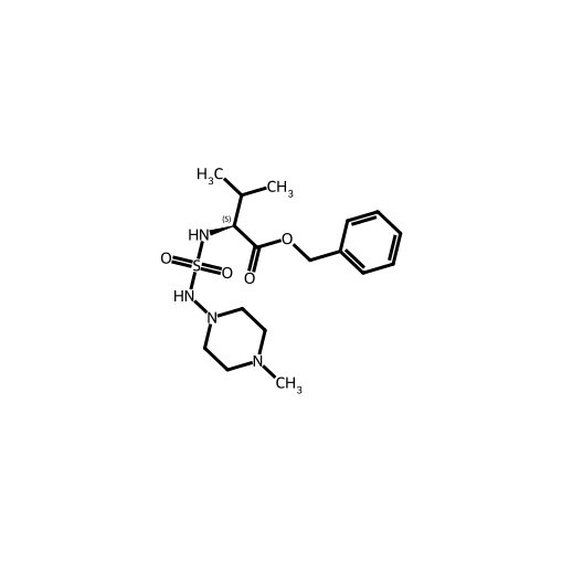 CC(C)[C@H](NS(=O)(=O)NN1CCN(C)CC1)C(=O)OCc1ccccc1